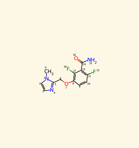 Cn1ccnc1COc1ccc(F)c(C(N)=O)c1F